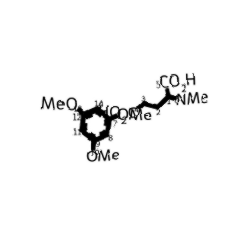 CNC(CCC(=O)O)C(=O)O.COc1cc(OC)cc(OC)c1